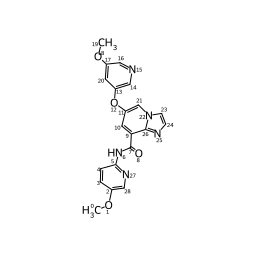 COc1ccc(NC(=O)c2cc(Oc3cncc(OC)c3)cn3ccnc23)nc1